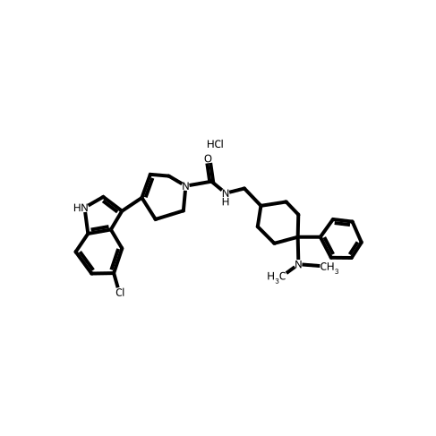 CN(C)C1(c2ccccc2)CCC(CNC(=O)N2CC=C(c3c[nH]c4ccc(Cl)cc34)CC2)CC1.Cl